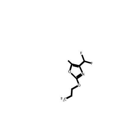 Cc1oc(OCCC(F)(F)F)nc1C(F)F